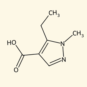 CCc1c(C(=O)O)cnn1C